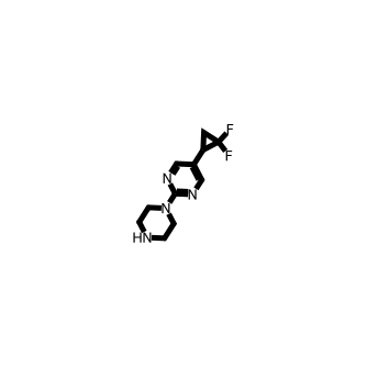 FC1(F)CC1c1cnc(N2CCNCC2)nc1